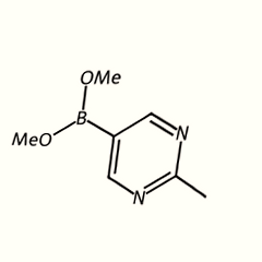 COB(OC)c1cnc(C)nc1